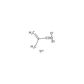 C=C(C)C(=O)[O-].CC[O-].[Ti+2]